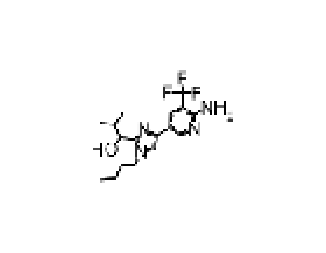 C=CCCn1cc(-c2cnc(N)c(C(F)(F)F)c2)nc1C(O)C(C)C